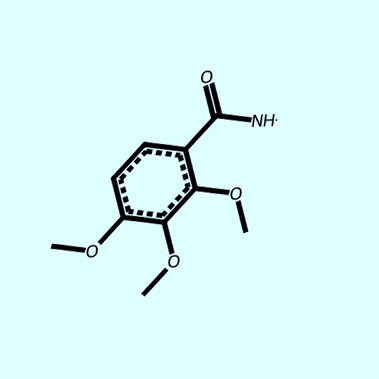 COc1ccc(C([NH])=O)c(OC)c1OC